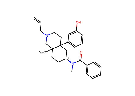 C=CCN1CCC2(c3cccc(O)c3)C[C@@H](N(C)C(=O)c3ccccc3)CCC2(OC)C1